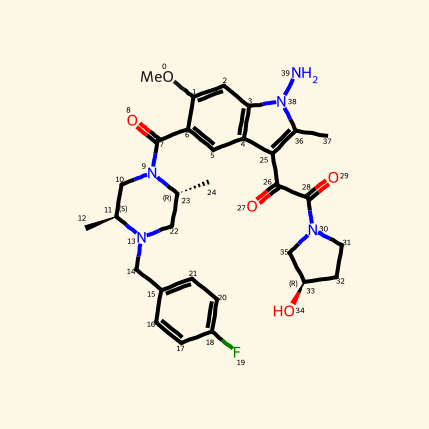 COc1cc2c(cc1C(=O)N1C[C@H](C)N(Cc3ccc(F)cc3)C[C@H]1C)c(C(=O)C(=O)N1CC[C@@H](O)C1)c(C)n2N